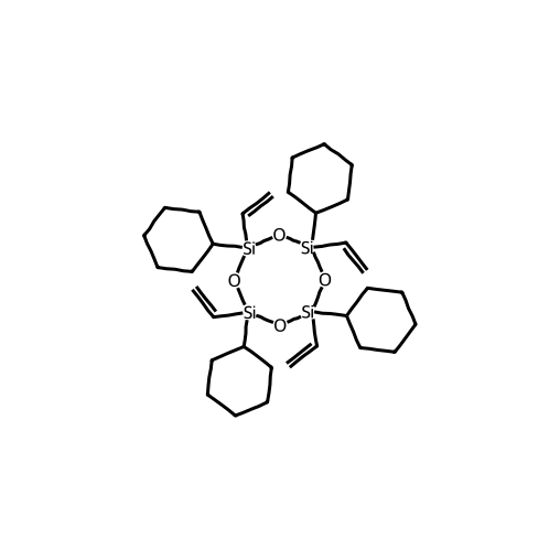 C=C[Si]1(C2CCCCC2)O[Si](C=C)(C2CCCCC2)O[Si](C=C)(C2CCCCC2)O[Si](C=C)(C2CCCCC2)O1